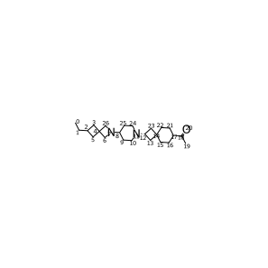 CCC1CC2(C1)CN(C1CCN([C@H]3CC4(CC[C@H](C(C)=O)CC4)C3)CC1)C2